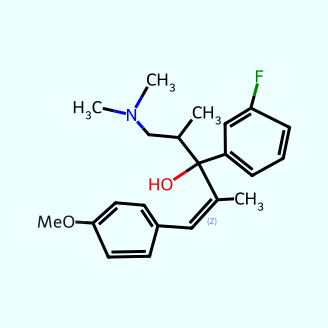 COc1ccc(/C=C(/C)C(O)(c2cccc(F)c2)C(C)CN(C)C)cc1